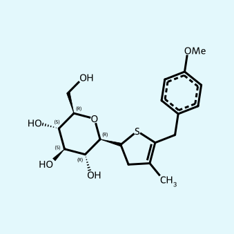 COc1ccc(CC2=C(C)CC([C@@H]3O[C@H](CO)[C@@H](O)[C@H](O)[C@H]3O)S2)cc1